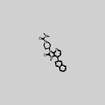 CN(C)C(=O)N1CCC(n2c(=O)n(C)c3c(-c4ccc5ccccc5c4)ccnc32)CC1